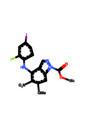 COc1cc2c(cnn2C(=O)OC(C)(C)C)c(Nc2ccc(I)cc2F)c1[N+](=O)[O-]